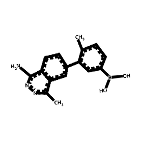 Cc1ccc(B(O)O)cc1-c1ccc2c(N)nnc(C)c2c1